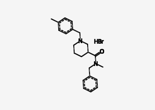 Br.Cc1ccc(CN2CCCC(C(=O)N(C)Cc3ccccc3)C2)cc1